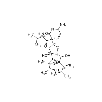 CC(C)[C@H](N)C(=O)C(O)[C@H]1O[C@@H]([N+]2(C(=O)[C@@H](N)C(C)C)C=CC(N)=NC2=O)C[C@@]1(O)C(=O)[C@@H](N)C(C)C